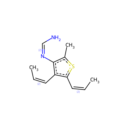 C/C=C\c1sc(C)c(/N=C\N)c1/C=C\C